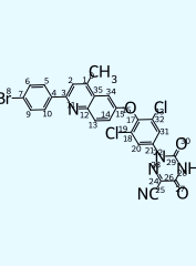 Cc1cc(-c2ccc(Br)cc2)nc2ccc(Oc3c(Cl)cc(-n4nc(C#N)c(=O)[nH]c4=O)cc3Cl)cc12